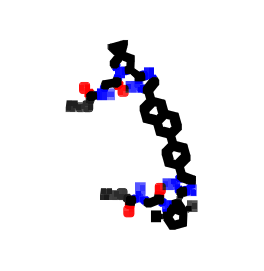 COC(=O)NCC(=O)N1CC2(CC2)C[C@H]1c1ncc(-c2ccc3cc(-c4ccc(-c5cnc([C@@H]6[C@H]7CC[C@H](C7)N6C(=O)CNC(=O)OC)[nH]5)cc4)ccc3c2)[nH]1